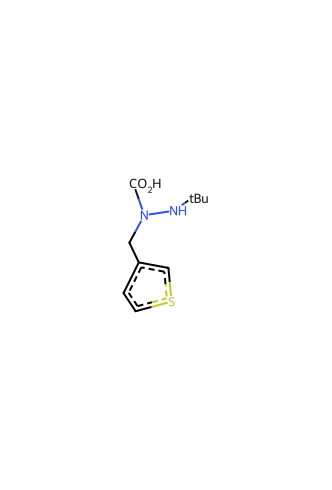 CC(C)(C)NN(Cc1ccsc1)C(=O)O